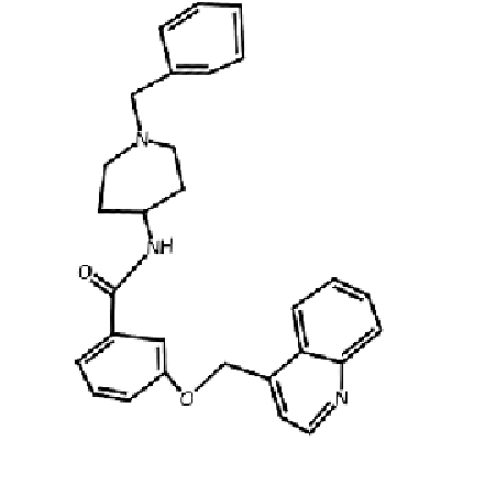 O=C(NC1CCN(Cc2ccccc2)CC1)c1cccc(OCc2ccnc3ccccc23)c1